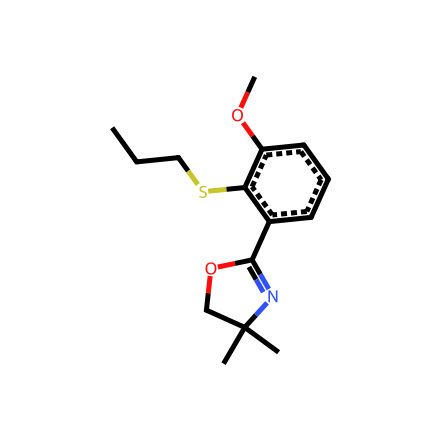 CCCSc1c(OC)cccc1C1=NC(C)(C)CO1